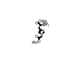 COC(=O)[C@H](Cc1cn(CC(=O)OC(C)(C)C)cn1)NP